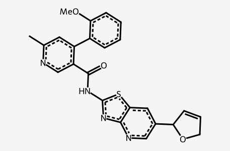 COc1ccccc1-c1cc(C)ncc1C(=O)Nc1nc2ncc(C3C=CCO3)cc2s1